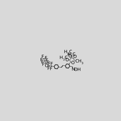 CCO[C@@H]1[C@@H](OC)[C@H](C)O[C@@H](c2cc(/C=C/c3ccc(C(F)(F)C(F)(F)OC(F)(F)C(F)(F)C(F)(F)F)cc3)ccc2C=NO)[C@H]1OC